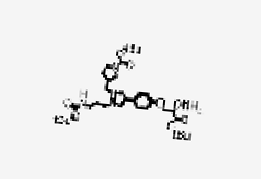 CC(C)(C)OC(=O)NCCCn1cc(-c2ccc(OCC(ON)C(=O)OC(C)(C)C)cc2)c[n+]1CC1CCN(C(=O)OC(C)(C)C)C1